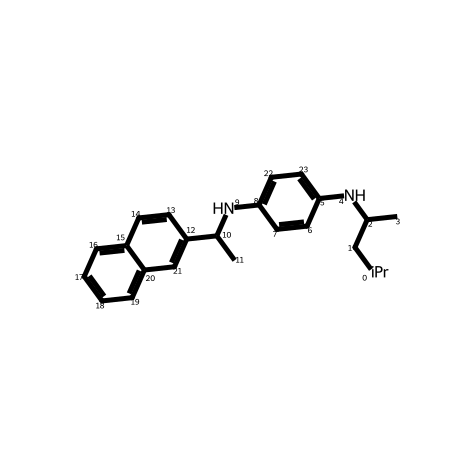 CC(C)CC(C)Nc1ccc(NC(C)c2ccc3ccccc3c2)cc1